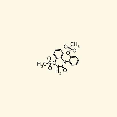 CS(=O)(=O)Oc1ccccc1N(C(N)=O)c1ccccc1OS(C)(=O)=O